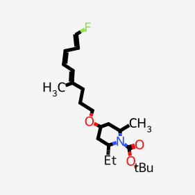 CCC1CC(OCCC/C(C)=C/C=C\C=C\F)CC(C)N1C(=O)OC(C)(C)C